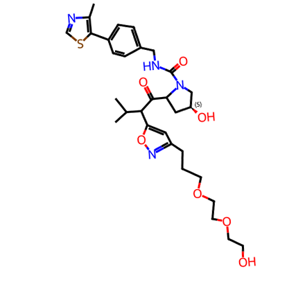 Cc1ncsc1-c1ccc(CNC(=O)N2C[C@@H](O)CC2C(=O)C(c2cc(CCCOCCOCCO)no2)C(C)C)cc1